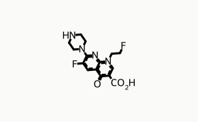 O=C(O)c1cn(CCF)c2nc(N3CCNCC3)c(F)cc2c1=O